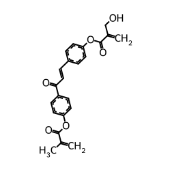 C=C(C)C(=O)Oc1ccc(C(=O)/C=C/c2ccc(OC(=O)C(=C)CO)cc2)cc1